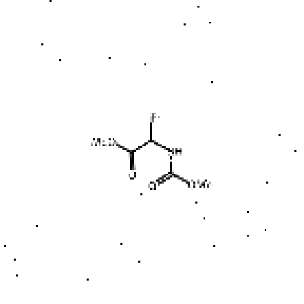 COC(=O)NC(C(=O)OC)C(C)C